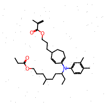 C=C(C)C(=O)OCCCC1C=CC(N(c2ccc(C)c(C)c2)C(CC)CCC(C)CCCOC(=O)CC)=CCC1